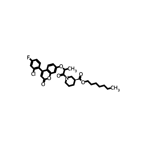 CCCCCCCOC(=O)[C@H]1CCCN(C(=O)C(C)Oc2ccc3c(-c4ccc(F)cc4Cl)cc(=O)oc3c2)C1